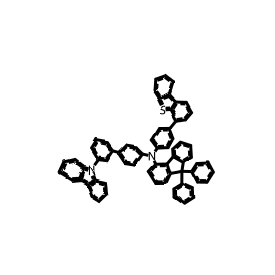 c1ccc(C2(c3ccccc3)c3ccccc3-c3c(N(c4ccc(-c5cccc(-n6c7ccccc7c7ccccc76)c5)cc4)c4ccc(-c5cccc6c5sc5ccccc56)cc4)cccc32)cc1